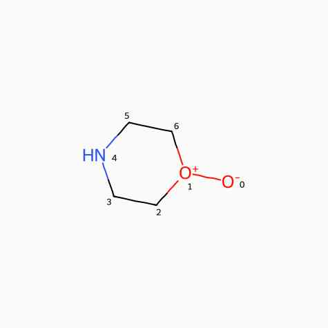 [O-][O+]1CCNCC1